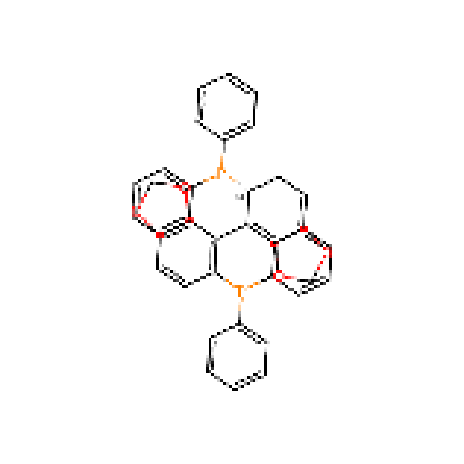 C1=C2OCOC2=C(c2c(P(c3ccccc3)c3ccccc3)ccc3c2OCO3)[C@H](P(c2ccccc2)c2ccccc2)C1